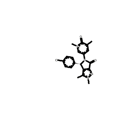 Cc1cc(N2C(=O)c3nn(C)c(C)c3[C@@H]2c2ccc(Cl)cc2)cn(C)c1=O